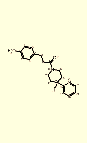 O=C(CCc1ccc(C(F)(F)F)cc1)N1CCC(F)(c2ccccn2)CC1